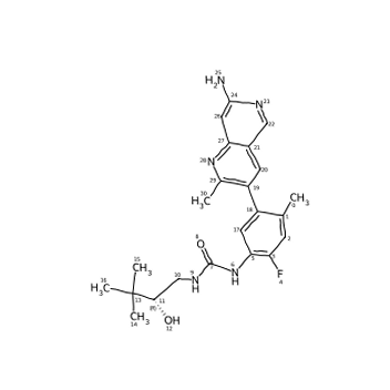 Cc1cc(F)c(NC(=O)NC[C@H](O)C(C)(C)C)cc1-c1cc2cnc(N)cc2nc1C